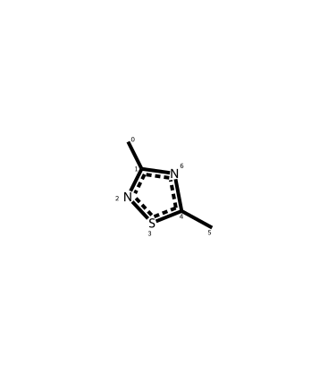 Cc1nsc(C)n1